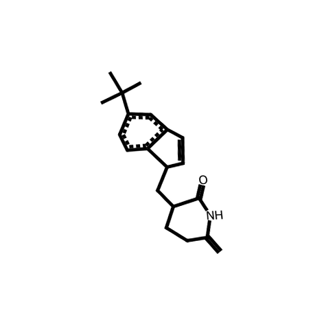 C=C1CCC(CC2C=Cc3cc(C(C)(C)C)ccc32)C(=O)N1